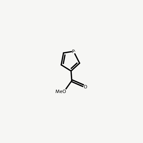 COC(=O)C1=C[P]C=C1